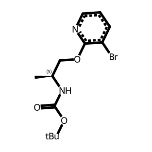 C[C@@H](COc1ncccc1Br)NC(=O)OC(C)(C)C